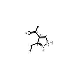 CCc1n[nH]cc1C(C)=O